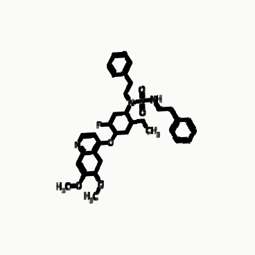 CCC1CC(Oc2ccnc3c2CC(OC)C(OC)=C3)C(F)CC1N(CCc1ccccc1)S(=O)(=O)NCCc1ccccc1